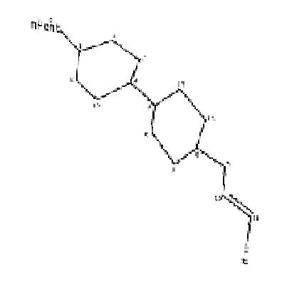 CCCCCC1CCC(C2CCC(CC=CF)CC2)CC1